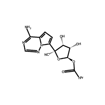 CCCC(=O)O[C@H]1O[C@@](C#N)(c2ccc3c(N)ncnn23)[C@H](O)[C@@H]1O